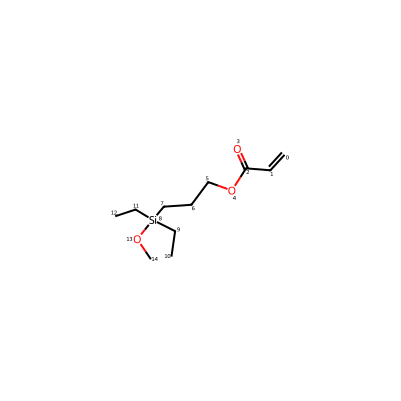 C=CC(=O)OCCC[Si](CC)(CC)OC